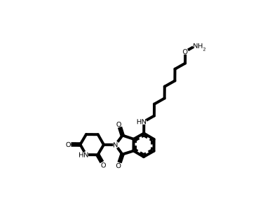 NOCCCCCCCNc1cccc2c1C(=O)N(C1CCC(=O)NC1=O)C2=O